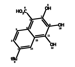 CC(C)(C)c1ccc2c(C(=O)O)c(O)c(O)c(O)c2c1